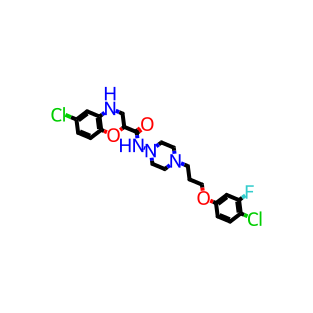 O=C(NN1CCN(CCCOc2ccc(Cl)c(F)c2)CC1)C1CNc2cc(Cl)ccc2O1